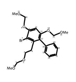 COCOCCc1c(Br)c(OCOC)cc(OCOC)c1-c1ccccc1